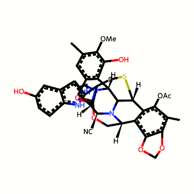 COc1c(C)cc2c(c1O)[C@@H]1C3[C@@H]4SC[C@]5(NCCc6c5[nH]c5ccc(O)cc65)C(=O)OC[C@@H](c5c6c(c(C)c(OC(C)=O)c54)OCO6)N3[C@@H](C#N)[C@H](C2)N1C